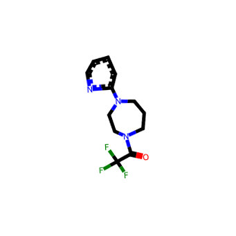 O=C(N1CCCN(c2ccccn2)CC1)C(F)(F)F